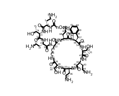 CCCCCCCCC(=O)N[C@@H](CCN)C(=O)N[C@H](C(=O)N[C@@H](CCN)C(=O)N[C@H]1CCNC(=O)[C@H]([C@@H](C)O)NC(=O)[C@H](CCN)NC(=O)[C@H](CCN)NC(=O)[C@H]([C@@H](C)O)NC(=O)[C@H](Cc2ccccc2)NC(=O)[C@H](CCN)NC1=O)[C@@H](C)O